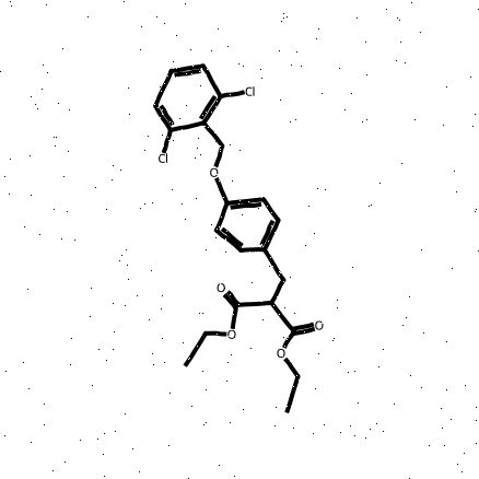 CCOC(=O)C(Cc1ccc(OCc2c(Cl)cccc2Cl)cc1)C(=O)OCC